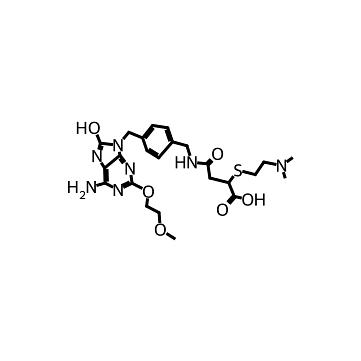 COCCOc1nc(N)c2nc(O)n(Cc3ccc(CNC(=O)CC(SCCN(C)C)C(=O)O)cc3)c2n1